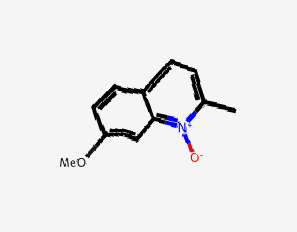 COc1ccc2ccc(C)[n+]([O-])c2c1